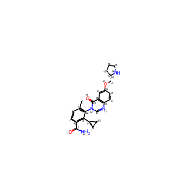 Cc1ccc(C(N)=O)c(C2CC2)c1-n1cnc2ccc(OC[C@@H]3CCCN3)cc2c1=O